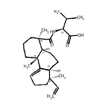 C=C[C@@]1(C)CCC=C2[C@H]1CC[C@@H]1[C@](C)(C(=O)N[C@H](C(=O)O)C(C)C)CCC[C@@]21C